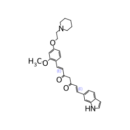 COc1cc(OCCN2CCCCC2)ccc1/C=C/C(=O)CC(=O)/C=C/c1ccc2cc[nH]c2c1